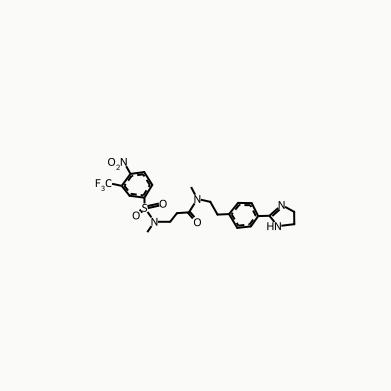 CN(CCc1ccc(C2=NCCN2)cc1)C(=O)CCN(C)S(=O)(=O)c1ccc([N+](=O)[O-])c(C(F)(F)F)c1